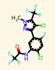 Cn1nc(-c2cc(NC(=O)C(F)(F)F)c(Cl)cc2F)c(Cl)c1C(F)(F)F